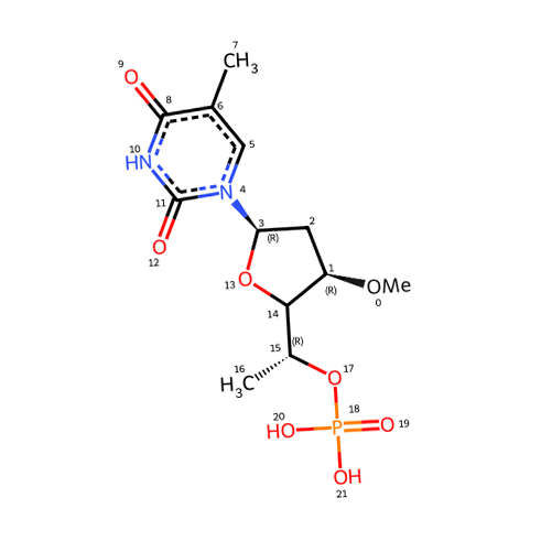 CO[C@@H]1C[C@H](n2cc(C)c(=O)[nH]c2=O)OC1[C@@H](C)OP(=O)(O)O